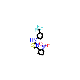 O=[N+]([O-])c1ccccc1-c1csc(Nc2cccc(C(F)(F)F)c2)n1